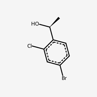 C[C@H](O)c1ccc(Br)cc1Cl